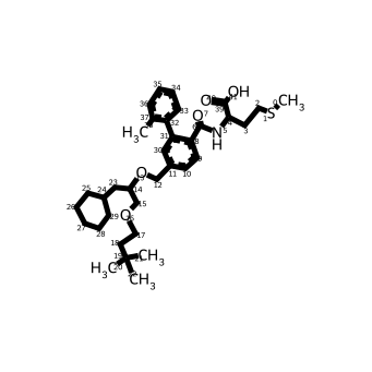 CSCCC(NC(=O)c1ccc(COC(COCCC(C)(C)C)CC2CCCCC2)cc1-c1ccccc1C)C(=O)O